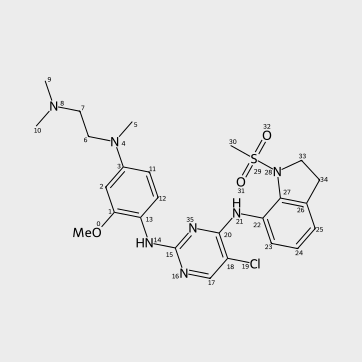 COc1cc(N(C)CCN(C)C)ccc1Nc1ncc(Cl)c(Nc2cccc3c2N(S(C)(=O)=O)CC3)n1